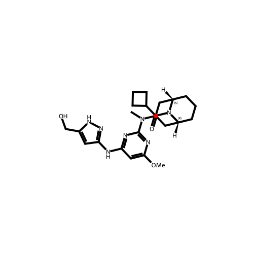 COc1cc(Nc2cc(CO)[nH]n2)nc(N(C)C2C[C@H]3CCC[C@@H](C2)N3C(=O)C2CCC2)n1